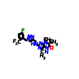 Cc1nc(NCc2cn(Cc3cc(F)ccc3C(F)(F)F)nn2)nc2c1NC(=O)[C@H](C)N2C